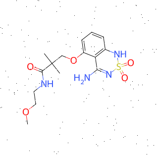 COCCNC(=O)C(C)(C)COc1cccc2c1C(N)=NS(=O)(=O)N2